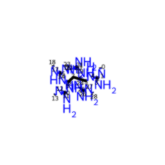 CN=C(N)NCC(CC(NC(N)=NC)NC(N)=NC)(NC(N)=NC)NC(N)=NC